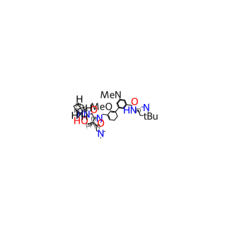 CNc1cc(C(=O)N[C@H](CN(C)C)CC(C)(C)C)cc(C2=C(OC)C(CN3O[C@@H](CN(C)C)[C@@H]([C@H](C)O)[C@H]3C(=O)N[C@H]3C[C@H]4C[C@@H]([C@@H]3C)C4(C)C)=CCC2)c1